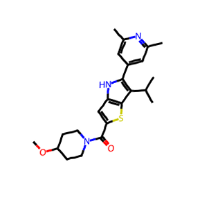 COC1CCN(C(=O)c2cc3[nH]c(-c4cc(C)nc(C)c4)c(C(C)C)c3s2)CC1